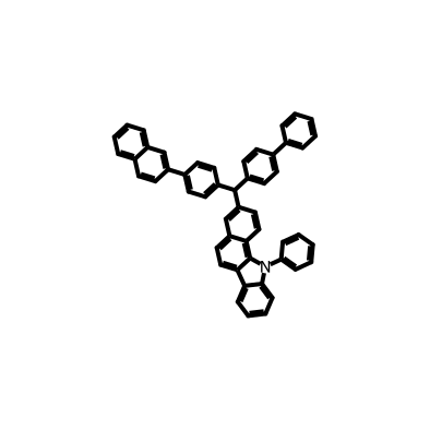 c1ccc(-c2ccc(C(c3ccc(-c4ccc5ccccc5c4)cc3)c3ccc4c(ccc5c6ccccc6n(-c6ccccc6)c45)c3)cc2)cc1